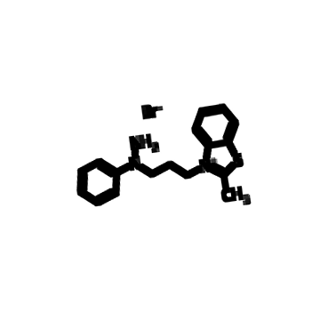 Cc1sc2ccccc2[n+]1CCCN(N)c1ccccc1.[Br-]